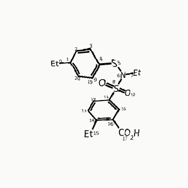 CCc1ccc(SN(CC)S(=O)(=O)c2ccc(CC)c(C(=O)O)c2)cc1